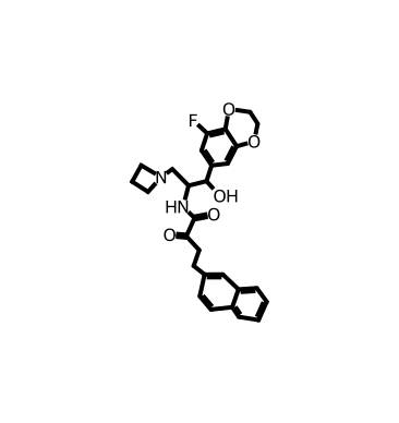 O=C(CCc1ccc2ccccc2c1)C(=O)NC(CN1CCC1)C(O)c1cc(F)c2c(c1)OCCO2